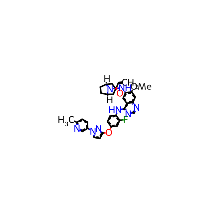 C=CC(=O)N1[C@@H]2CC[C@H]1CC(Nc1cc3c(Nc4ccc(Oc5ccn(-c6ccc(C)nc6)n5)cc4F)ncnc3cc1OC)C2